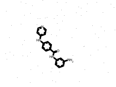 Nc1cccc(NC(=O)c2ccc(Nc3ccncc3)cc2)c1